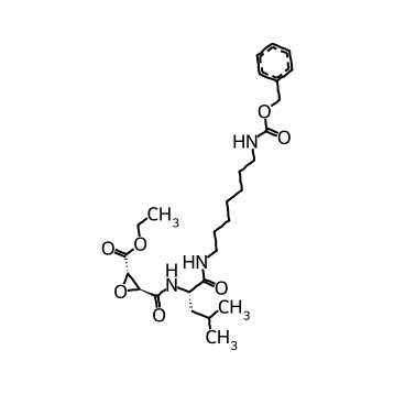 CCOC(=O)[C@H]1O[C@@H]1C(=O)N[C@@H](CC(C)C)C(=O)NCCCCCCCNC(=O)OCc1ccccc1